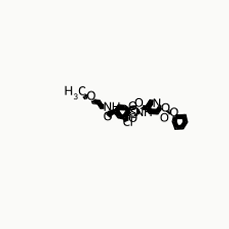 CCOCCCNC(=O)c1ccc(S(=O)(=O)NC(=O)c2ccc(OC(=O)OC3CCCCC3)nc2)c(Cl)c1